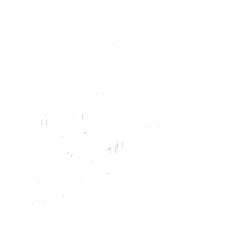 [2H]C1([2H])C2C3OC3C(C([2H])([2H])C1([2H])OC(=O)C(O)(c1cccs1)c1cccs1)[N+]2(C)C([2H])([2H])[2H]